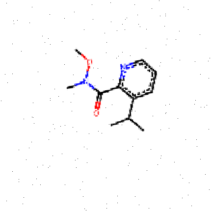 CON(C)C(=O)c1ncccc1C(C)C